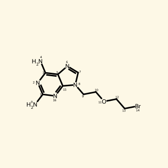 Nc1nc(N)c2ncn(CCOCCBr)c2n1